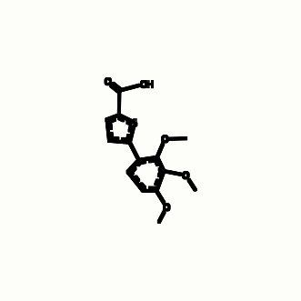 COc1ccc(-c2ccc(C(=O)O)s2)c(OC)c1OC